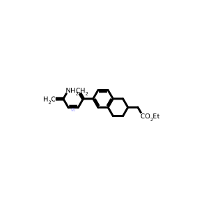 C=C(N)/C=C\C(=C)c1ccc2c(c1)CCC(CC(=O)OCC)C2